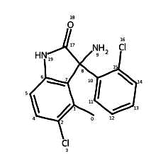 Cc1c(Cl)ccc2c1C(N)(c1ccccc1Cl)C(=O)N2